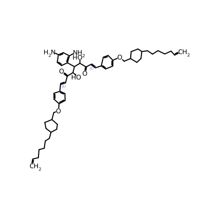 C=CCCCCCC1CCC(COc2ccc(/C=C/C(=O)C(O)C(c3ccc(N)cc3N)C(O)C(=O)/C=C/c3ccc(OCC4CCC(CCCCCC=C)CC4)cc3)cc2)CC1